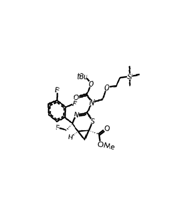 COC(=O)[C@]12C[C@H]1[C@@](CF)(c1cccc(F)c1F)N=C(N(COCC[Si](C)(C)C)C(=O)OC(C)(C)C)S2